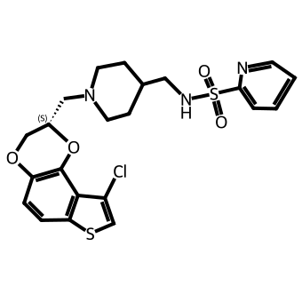 O=S(=O)(NCC1CCN(C[C@H]2COc3ccc4scc(Cl)c4c3O2)CC1)c1ccccn1